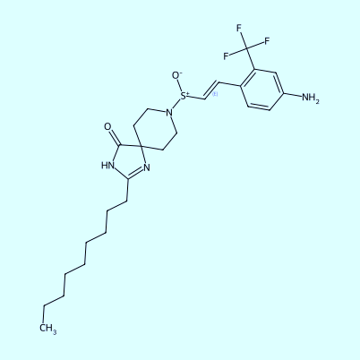 CCCCCCCCCC1=NC2(CCN([S+]([O-])/C=C/c3ccc(N)cc3C(F)(F)F)CC2)C(=O)N1